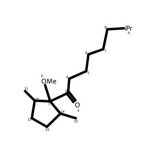 COC1(C(=O)CCCCCC(C)C)C(C)CCC1C